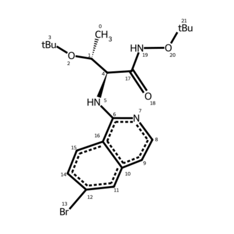 C[C@@H](OC(C)(C)C)[C@H](Nc1nccc2cc(Br)ccc12)C(=O)NOC(C)(C)C